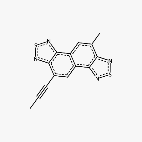 CC#Cc1cc2c(cc(C)c3nsnc32)c2nsnc12